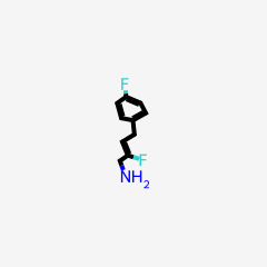 NCC(F)=CCc1ccc(F)cc1